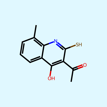 CC(=O)c1c(S)nc2c(C)cccc2c1O